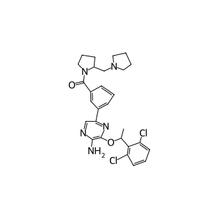 CC(Oc1nc(-c2cccc(C(=O)N3CCCC3CN3CCCC3)c2)cnc1N)c1c(Cl)cccc1Cl